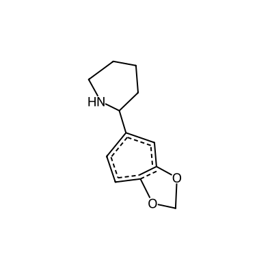 c1cc2c(cc1C1CCCCN1)OCO2